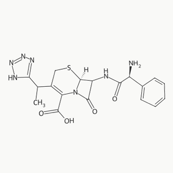 CC(C1=C(C(=O)O)N2C(=O)C(NC(=O)[C@@H](N)c3ccccc3)[C@@H]2SC1)c1nnn[nH]1